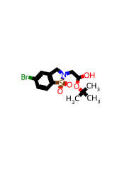 CC(C)(C)OC(O)CN1Cc2cc(Br)ccc2S1(=O)=O